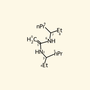 C=C(NC(CC)CCC)NC(CC)CCC